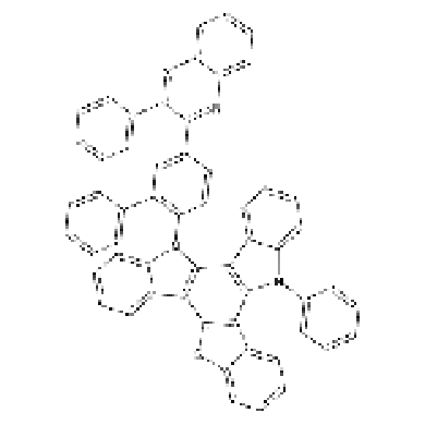 c1ccc(-c2cc(-c3nc4ccccc4nc3-c3ccccc3)ccc2-n2c3ccccc3c3c4sc5ccccc5c4c4c(c5ccccc5n4-c4ccccc4)c32)cc1